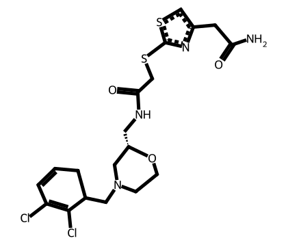 NC(=O)Cc1csc(SCC(=O)NC[C@H]2CN(CC3CC=CC(Cl)=C3Cl)CCO2)n1